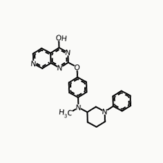 CN(c1ccc(Oc2nc(O)c3ccncc3n2)cc1)C1CCCN(c2ccccc2)C1